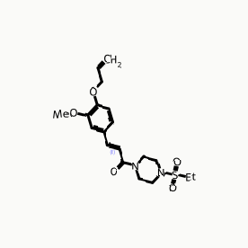 C=CCOc1ccc(/C=C/C(=O)N2CCN(S(=O)(=O)CC)CC2)cc1OC